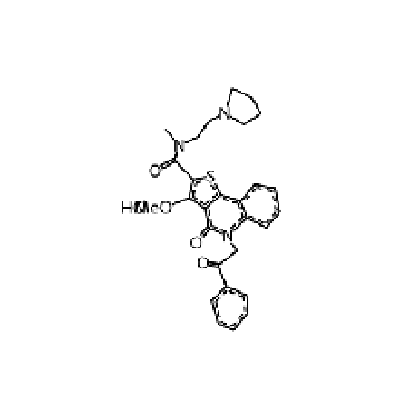 COc1c(C(=O)N(C)CCN2CCCC2)sc2c1c(=O)n(CC(=O)c1ccccc1)c1ccccc21.Cl